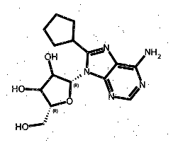 Nc1ncnc2c1nc(C1CCCC1)n2[C@@H]1O[C@H](CO)C(O)C1O